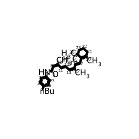 CCCCc1ccc(NC(=O)C=C(C)C=CC=C(C)C=CC2=C(C)CCCC2(C)C)cc1